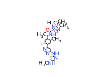 CNc1cnc(Nc2cc(-c3cc(C)c([C@@H](C)NC(=O)c4nc(C(C)(C)C)no4)cc3F)ncn2)s1